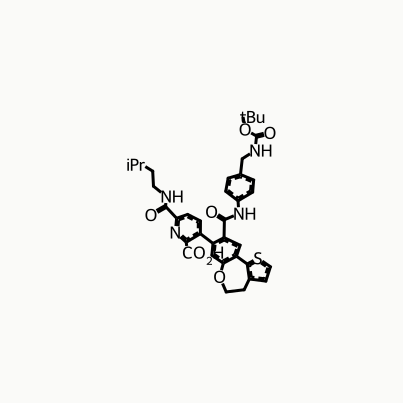 CC(C)CCNC(=O)c1ccc(-c2cc3c(cc2C(=O)Nc2ccc(CNC(=O)OC(C)(C)C)cc2)-c2sccc2CCO3)c(C(=O)O)n1